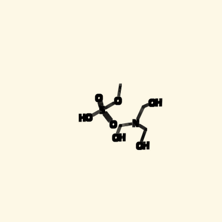 COS(=O)(=O)O.OCN(CO)CO